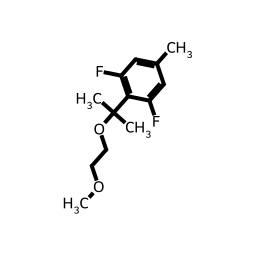 COCCOC(C)(C)c1c(F)cc(C)cc1F